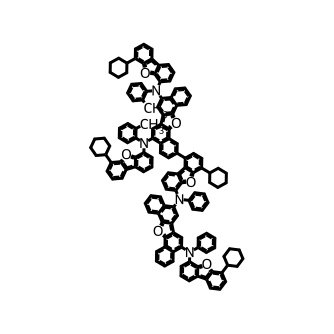 Cc1ccccc1N(c1cc2c3cc(N(c4ccccc4C)c4cccc5c4oc4c(C6CCCCC6)cccc45)c4ccc(-c5ccc(C6CCCCC6)c6oc7c(N(c8ccccc8)c8cc9c%10cc(N(c%11ccccc%11)c%11cccc%12c%11oc%11c(C%13CCCCC%13)cccc%11%12)c%11ccccc%11c%10oc9c9ccccc89)cccc7c56)cc4c3oc2c2ccccc12)c1cccc2c1oc1c(C3CCCCC3)cccc12